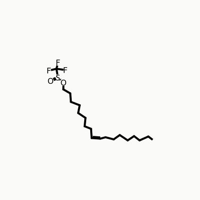 CCCCCCCC/C=C\CCCCCCCCOS(=O)C(F)(F)F